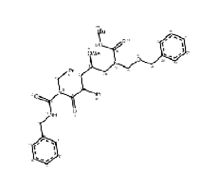 COC(CC(C(=O)N(CC(C)C)C(=O)NCc1ccccc1)C(C)C)CN(COCc1ccccc1)C(=O)OC(C)(C)C